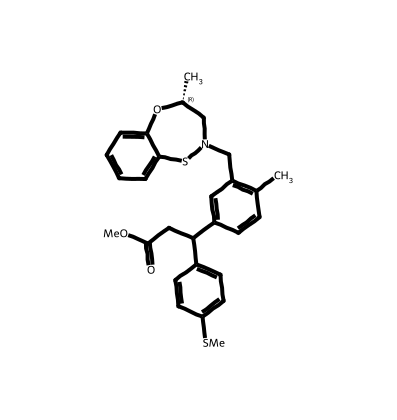 COC(=O)CC(c1ccc(SC)cc1)c1ccc(C)c(CN2C[C@@H](C)Oc3ccccc3S2)c1